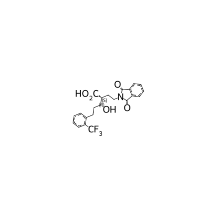 O=C(O)[C@@H](CCN1C(=O)c2ccccc2C1=O)[C@H](O)CCc1ccccc1C(F)(F)F